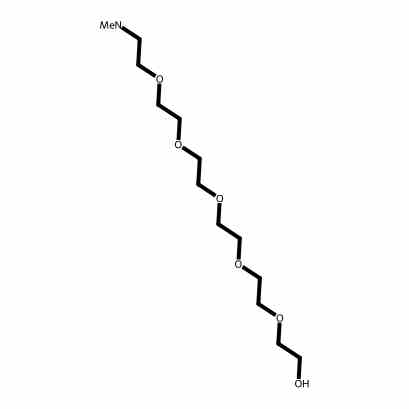 CNCCOCCOCCOCCOCCOCCO